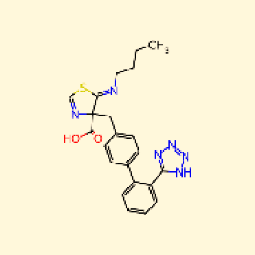 CCCC/N=C1\SC=NC1(Cc1ccc(-c2ccccc2-c2nnn[nH]2)cc1)C(=O)O